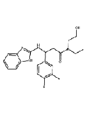 CCN(CCO)C(=O)CC(Nc1nc2ccccc2[nH]1)c1ccc(F)c(C)c1